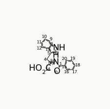 O=C(N[C@H](Cc1c[nH]c2ccccc12)C(=O)O)c1ccccc1